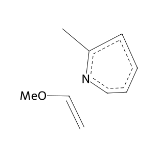 C=COC.Cc1ccccn1